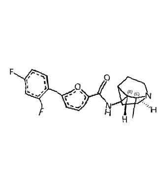 C[C@H]1[C@H](NC(=O)c2ccc(-c3ccc(F)cc3F)o2)C2CCN1CC2